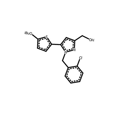 CC(C)COc1ccc(-c2cc(CO)nn2Cc2ccccc2Cl)s1